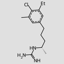 CCc1cc(CCC[C@H](C)NC(=N)N)cc(C)c1Cl